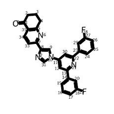 O=C1CCCc2nc(-c3cn(-c4cc(-c5cccc(F)c5)nc(-c5cccc(F)c5)c4)cn3)ccc21